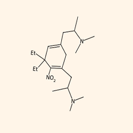 CCC1(CC)C=C(CC(C)N(C)C)CC(CC(C)N(C)C)=C1[N+](=O)[O-]